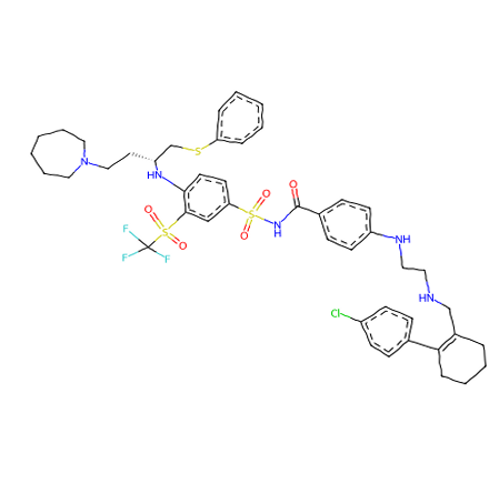 O=C(NS(=O)(=O)c1ccc(N[C@H](CCN2CCCCCC2)CSc2ccccc2)c(S(=O)(=O)C(F)(F)F)c1)c1ccc(NCCNCC2=C(c3ccc(Cl)cc3)CCCC2)cc1